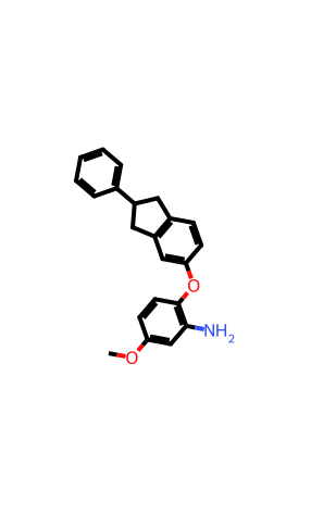 COc1ccc(Oc2ccc3c(c2)CC(c2ccccc2)C3)c(N)c1